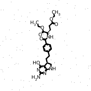 CCOC(=O)CC[C@@H](NC(=O)c1ccc(CCC2CNc3nc(N)nc(O)c32)cc1)C(=O)OCC